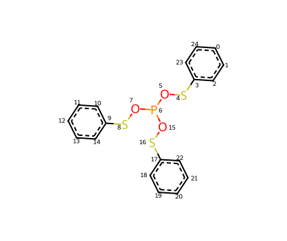 c1ccc(SOP(OSc2ccccc2)OSc2ccccc2)cc1